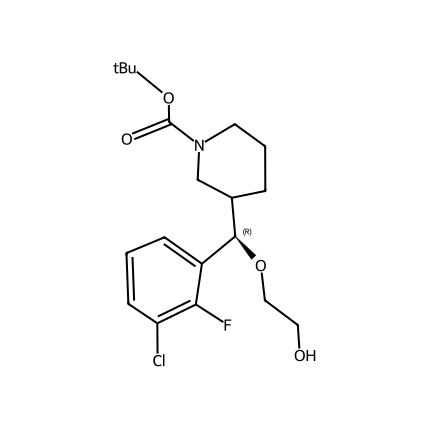 CC(C)(C)OC(=O)N1CCCC([C@@H](OCCO)c2cccc(Cl)c2F)C1